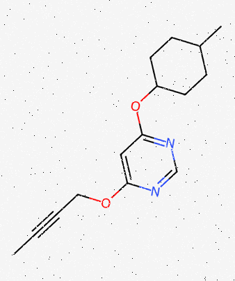 CC#CCOc1cc(OC2CCC(C)CC2)ncn1